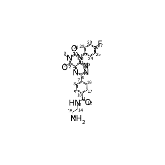 Cn1c(=O)c2nc(-c3ccc(C(=O)NCCN)cc3)nnc2n(-c2ccc(F)cc2)c1=O